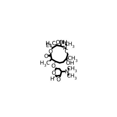 CC[C@H]1OC(=O)C(C)[C@@H](OC2CC(N(C)C)C3O[C@H]3O2)CC[C@](C)(O)CCN(C)C(O)[C@]1(C)O